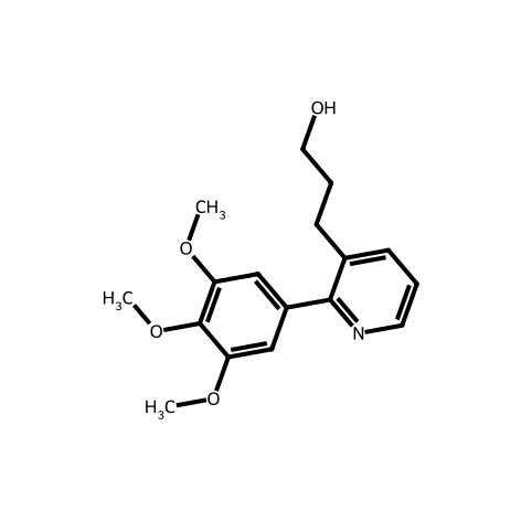 COc1cc(-c2ncccc2CCCO)cc(OC)c1OC